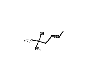 CC=CCC(N)(O)C(=O)O